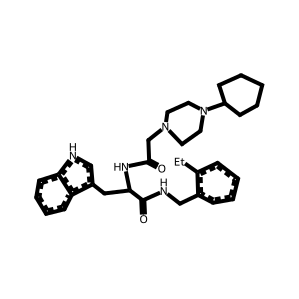 CCc1ccccc1CNC(=O)C(Cc1c[nH]c2ccccc12)NC(=O)CN1CCN(C2CCCCC2)CC1